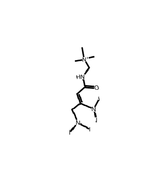 C[N+](C)(C)CNC(=O)C=C(CN(I)I)N(I)I